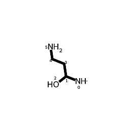 [NH]C(O)CCN